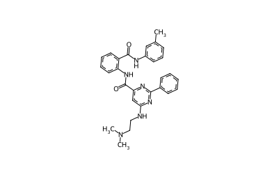 Cc1cccc(NC(=O)c2ccccc2NC(=O)c2cc(NCCN(C)C)nc(-c3ccccc3)n2)c1